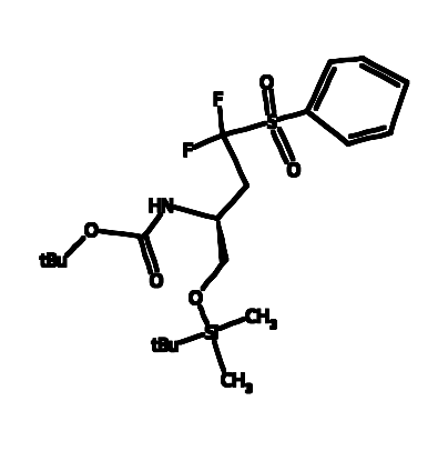 CC(C)(C)OC(=O)N[C@H](CO[Si](C)(C)C(C)(C)C)CC(F)(F)S(=O)(=O)c1ccccc1